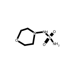 NS(=O)(=O)NN1CCOCC1